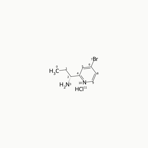 CC[C@@H](N)c1cc(Br)ccn1.Cl